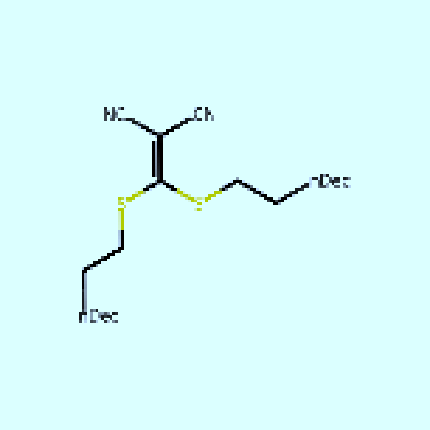 CCCCCCCCCCCCSC(SCCCCCCCCCCCC)=C(C#N)C#N